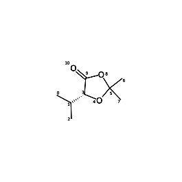 CC(C)[C@H]1OC(C)(C)OC1=O